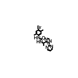 Cc1cc(NC(=O)NC(C)c2ncnn2-c2ncccn2)c(C)cc1Br